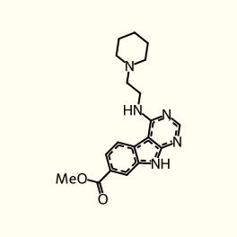 COC(=O)c1ccc2c(c1)[nH]c1ncnc(NCCN3CCCCC3)c12